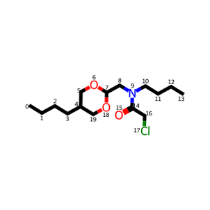 CCCCC1COC(CN(CCCC)C(=O)CCl)OC1